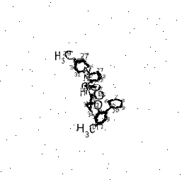 Cc1ccc(C2CCCCC2)c(OC2(C(=O)NS(=O)(=O)c3cccc(N4CCC(C)CC4)n3)CC2)c1